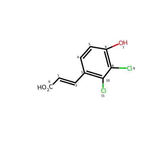 O=C(O)C=Cc1ccc(O)c(Cl)c1Cl